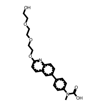 CN(C(=O)O)c1ccc(-c2ccc3nc(OCCOCCOCCO)ccc3c2)cc1